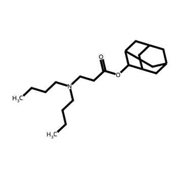 CCCCN(CCCC)CCC(=O)OC1C2CC3CC(C2)CC1C3